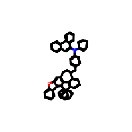 c1ccc(-c2cccc3c2-c2c(cc4oc5ccccc5c4c2-c2ccccc2)CCC3Cc2ccc(N(c3ccccc3)c3cc4ccccc4c4ccccc34)cc2)cc1